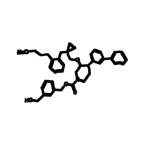 COCCCc1ccccc1CC1(COC2CN(C(=O)OCc3cccc(CO)c3)CC[C@@H]2c2cccc(-c3ccccc3)c2)CC1